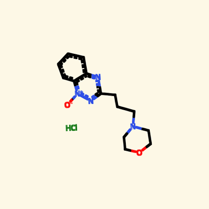 Cl.[O-][n+]1nc(CCCN2CCOCC2)nc2ccccc21